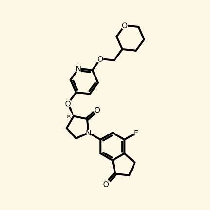 O=C1CCc2c(F)cc(N3CC[C@@H](Oc4ccc(OCC5CCCOC5)nc4)C3=O)cc21